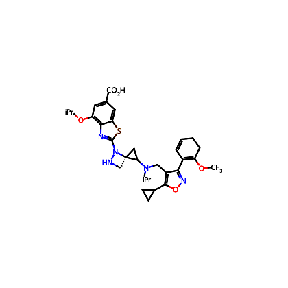 CC(C)Oc1cc(C(=O)O)cc2sc(N3NC[C@@]34CC4N(Cc3c(C4=C(OC(F)(F)F)CCC=C4)noc3C3CC3)C(C)C)nc12